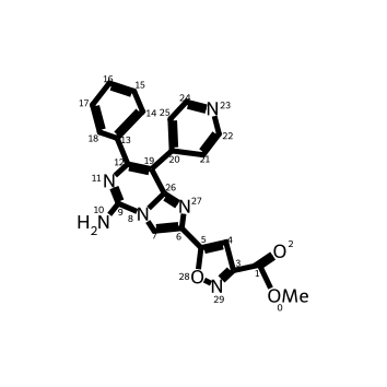 COC(=O)c1cc(-c2cn3c(N)nc(-c4ccccc4)c(-c4ccncc4)c3n2)on1